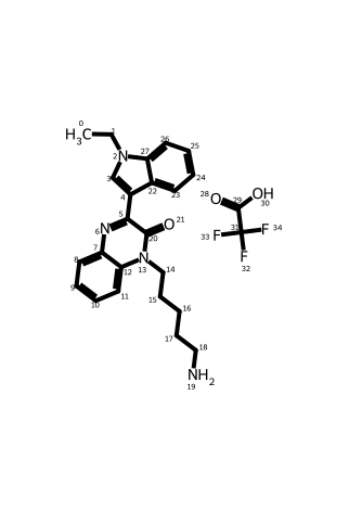 CCn1cc(-c2nc3ccccc3n(CCCCCN)c2=O)c2ccccc21.O=C(O)C(F)(F)F